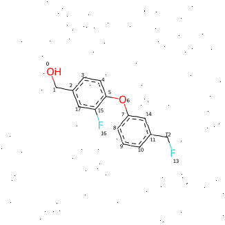 OCc1ccc(Oc2cccc(CF)c2)c(F)c1